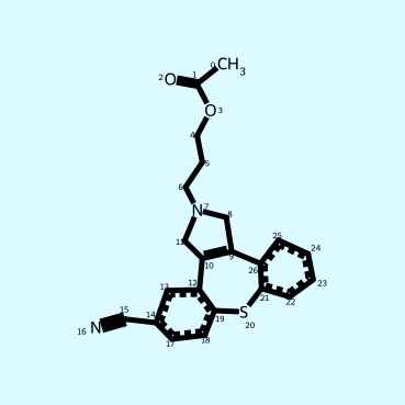 CC(=O)OCCCN1CC2=C(C1)c1cc(C#N)ccc1Sc1ccccc12